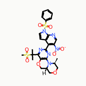 C[C@H]1COC[C@@H]2COc3c(nc(-c4c([N+](=O)[O-])cnc5c4ccn5S(=O)(=O)c4ccccc4)nc3C(C)(C)S(C)(=O)=O)N21